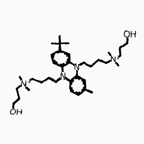 Cc1ccc2c(c1)N(CCCC[N+](C)(C)CCCO)c1cc(C(C)(C)C)ccc1N2CCCC[N+](C)(C)CCCO